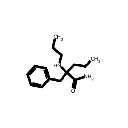 CCCNC(CCC)(Cc1ccccc1)C(N)=O